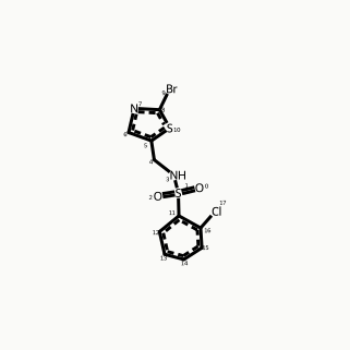 O=S(=O)(NCc1cnc(Br)s1)c1ccccc1Cl